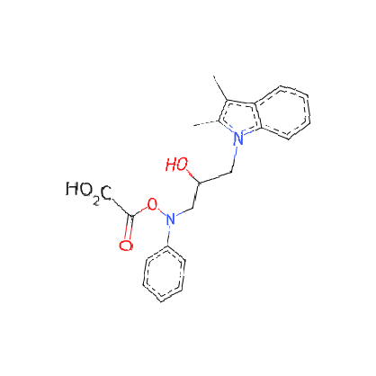 Cc1c(C)n(CC(O)CN(OC(=O)C(=O)O)c2ccccc2)c2ccccc12